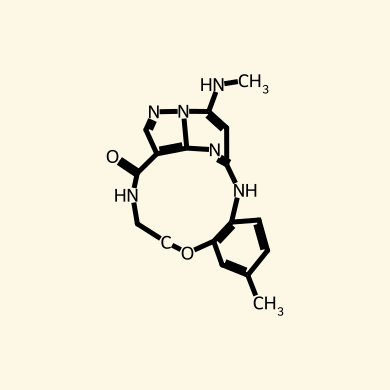 CNc1cc2nc3c(cnn13)C(=O)NCCOc1cc(C)ccc1N2